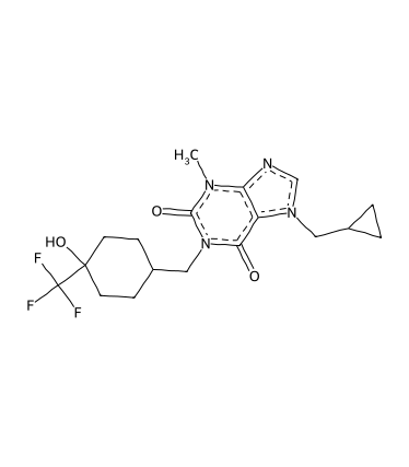 Cn1c(=O)n(CC2CCC(O)(C(F)(F)F)CC2)c(=O)c2c1ncn2CC1CC1